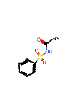 CCCC(=O)NS(=O)(=O)c1ccccc1